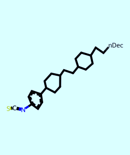 CCCCCCCCCCCCC1CCC(CCC2CCC(c3ccc(N=C=S)cc3)CC2)CC1